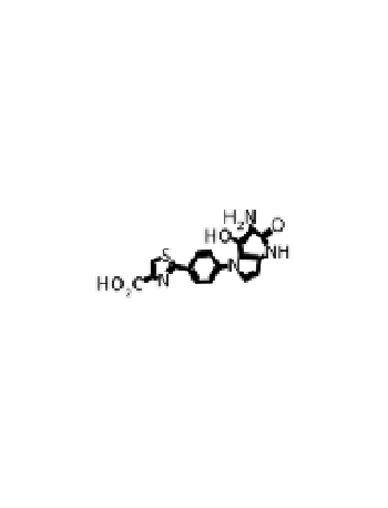 Nc1c(O)c2c(ccn2-c2ccc(-c3nc(C(=O)O)cs3)cc2)[nH]c1=O